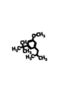 COc1cc(CC(C)C)cc(C(C)(C)C)c1